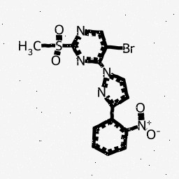 CS(=O)(=O)c1ncc(Br)c(-n2ccc(-c3ccccc3[N+](=O)[O-])n2)n1